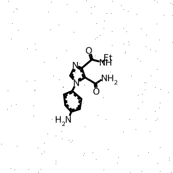 CCNC(=O)c1ncn(-c2ccc(N)cc2)c1C(N)=O